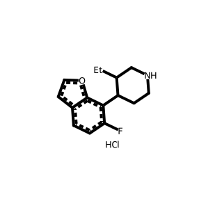 CCC1CNCCC1c1c(F)ccc2ccoc12.Cl